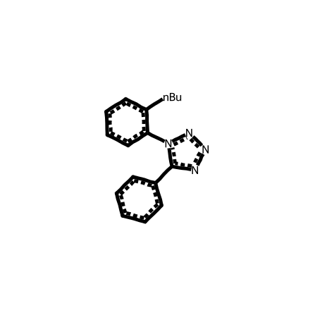 CCCCc1ccccc1-n1nnnc1-c1ccccc1